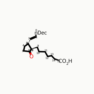 CCCCCCCCCCC=C[C@H]1CCC(=O)[C@@H]1CCCCCCC(=O)O